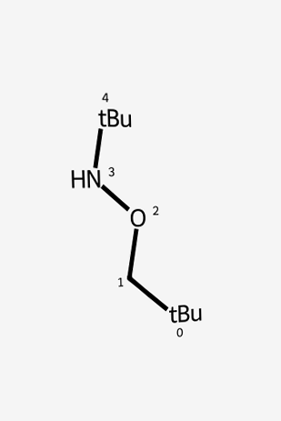 CC(C)(C)CONC(C)(C)C